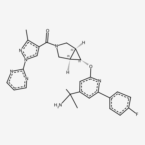 Cc1nn(-c2ncccn2)cc1C(=O)N1C[C@@H]2[C@H](C1)[C@H]2Oc1cc(C(C)(C)N)cc(-c2ccc(F)cc2)n1